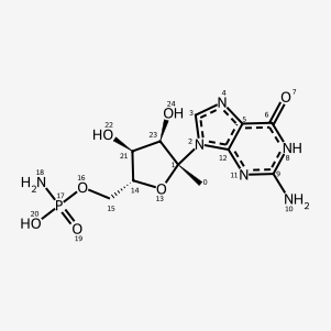 C[C@@]1(n2cnc3c(=O)[nH]c(N)nc32)O[C@H](COP(N)(=O)O)[C@@H](O)[C@H]1O